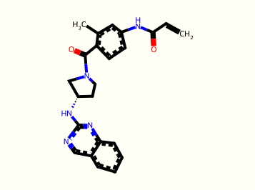 C=CC(=O)Nc1ccc(C(=O)N2CC[C@H](Nc3ncc4ccccc4n3)C2)c(C)c1